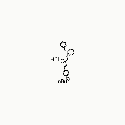 CCCCOc1ccc(C=CC(=O)CCN2CCCCC2Cc2ccccc2)cc1.Cl